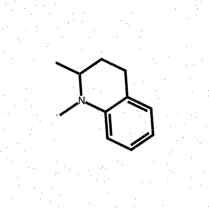 [CH2]N1c2ccccc2CCC1C